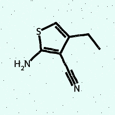 CCc1csc(N)c1C#N